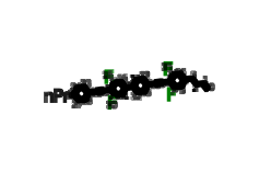 C=CCCc1cc(F)c(C#Cc2ccc(-c3cc(F)c(C#Cc4ccc(CCC)cc4)c(F)c3)cc2)c(F)c1